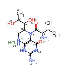 CC(C)C(N)C(=O)N1c2c([nH]c(N)nc2=O)NCC1C(O)C(C)O.Cl